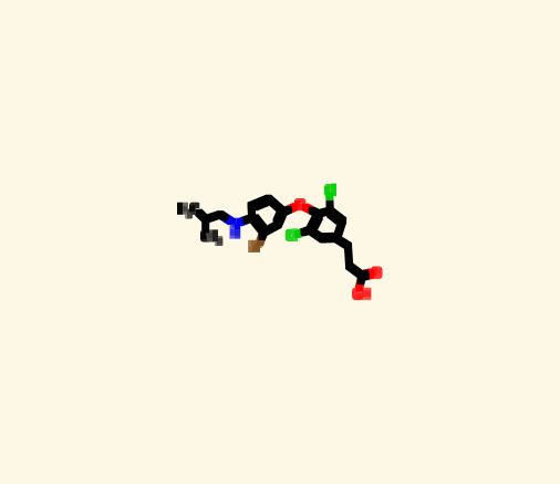 CC(C)CNc1ccc(Oc2c(Cl)cc(CCC(=O)O)cc2Cl)cc1Br